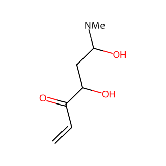 C=CC(=O)C(O)CC(O)NC